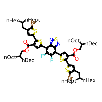 CCCCCCCCCCC(CCCCCCCC)COC(=O)c1cc(-c2c(F)c(F)c(-c3cc(C(=O)OCC(CCCCCCCC)CCCCCCCCCC)c(-c4cc(CC(CCCCCC)CCCCCCC)c(Br)s4)s3)c3nsnc23)sc1-c1cc(CC(CCCCCC)CCCCCCC)c(Br)s1